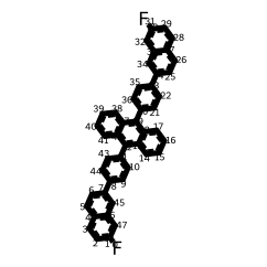 Fc1ccc2ccc(-c3ccc(-c4c5ccccc5c(-c5ccc(-c6ccc7ccc(F)cc7c6)cc5)c5ccccc45)cc3)cc2c1